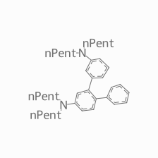 CCCCCN(CCCCC)c1cccc(-c2cc(N(CCCCC)CCCCC)ccc2-c2ccccc2)c1